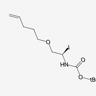 C=CCCCOC[C@@H](I)NC(=O)OC(C)(C)C